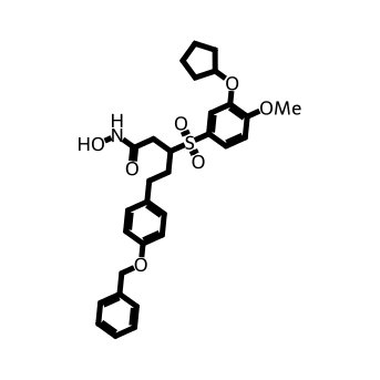 COc1ccc(S(=O)(=O)C(CCc2ccc(OCc3ccccc3)cc2)CC(=O)NO)cc1OC1CCCC1